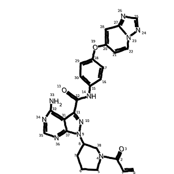 C=CC(=O)N1CCCC(n2nc(C(=O)Nc3ccc(Oc4ccn5ncnc5c4)cc3)c3c(N)ncnc32)C1